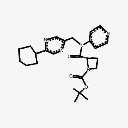 CC(C)(C)OC(=O)N1CC[C@@H]1C(=O)N(Cc1cnc(C2CCCCC2)cn1)c1ccncc1